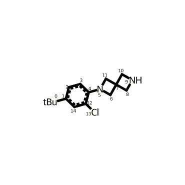 CC(C)(C)c1ccc(N2CC3(CNC3)C2)c(Cl)c1